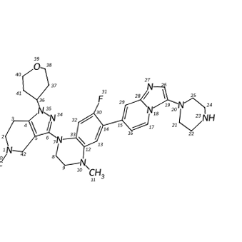 CC(=O)N1CCc2c(c(N3CCN(C)c4cc(-c5ccn6c(N7CCNCC7)cnc6c5)c(F)cc43)nn2C2CCOCC2)C1